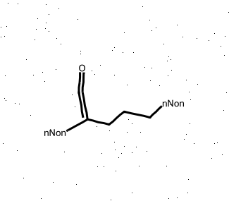 CCCCCCCCCCCCC(=C=O)CCCCCCCCC